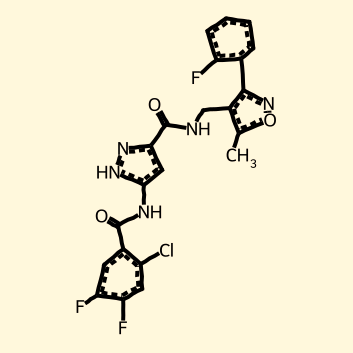 Cc1onc(-c2ccccc2F)c1CNC(=O)c1cc(NC(=O)c2cc(F)c(F)cc2Cl)[nH]n1